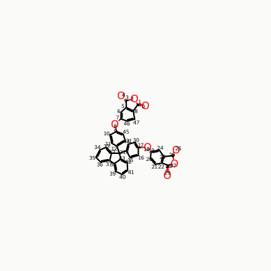 O=C1OC(=O)c2cc(Oc3ccc(C4(c5ccc(Oc6ccc7c(c6)C(=O)OC7=O)cc5)c5ccccc5-c5ccccc54)cc3)ccc21